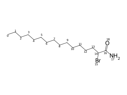 CCCCCCCCCCCCCCC(Br)C(N)=O